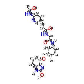 COc1nc2c(OCc3c(C)ccc(N(C)C(=O)CNC(=O)C=Cc4ccc(NC(C)=O)nc4)c3C)cccc2n1C